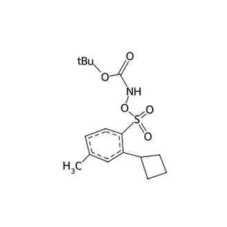 Cc1ccc(S(=O)(=O)ONC(=O)OC(C)(C)C)c(C2CCC2)c1